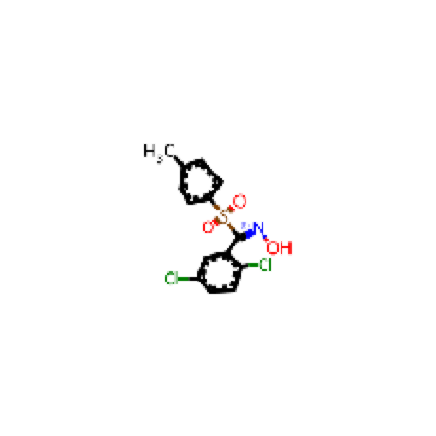 Cc1ccc(S(=O)(=O)/C(=N/O)c2cc(Cl)ccc2Cl)cc1